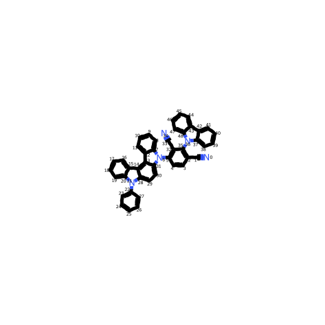 N#Cc1ccc(-n2c3ccccc3c3c4c5ccccc5n(-c5ccccc5)c4ccc32)c(C#N)c1-n1c2ccccc2c2ccccc21